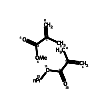 C=C(C)C(=O)OC.C=C(C)C(=O)OCCC